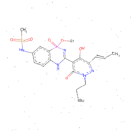 C/C=C/c1nn(CCC(C)(C)C)c(=O)c(C2=NP(=O)(OCC)c3cc(NS(C)(=O)=O)ccc3N2)c1O